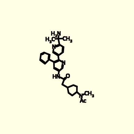 CC(=O)N(C)C1CCC(CC(=O)Nc2cnc(-c3ccc(C(C)(C)N)nc3)c(-c3ccccc3)c2)CC1